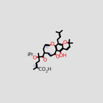 CC(C)=CCc1c2c(c(O)c3c1O/C=C/CC(C(=O)C(C)(C/C=C(/C)C(=O)O)OC(C)C)/C=C/C3=O)C=CC(C)(C)O2